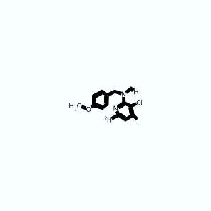 [2H]CN(Cc1ccc(OC)cc1)c1nc([2H])cc(I)c1Cl